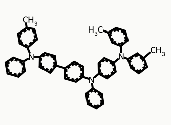 Cc1ccc(N(c2ccccc2)c2ccc(-c3ccc(N(c4ccccc4)c4ccc(N(c5cccc(C)c5)c5cccc(C)c5)cc4)cc3)cc2)cc1